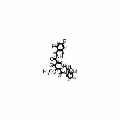 COc1c2n(cc(C(=O)NCc3c(F)cc(F)cc3F)c1=O)C[C@H]1O[C@@H]3CCC(C3)N1C2=O